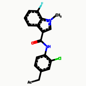 CC(=O)Cc1ccc(NC(=O)c2cn(C)c3c(F)cccc23)c(Cl)c1